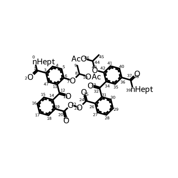 CCCCCCCC(=O)c1ccc(OC(C)OC(C)=O)c(C(=O)c2ccccc2C(=O)OOC(=O)c2ccccc2C(=O)c2cc(C(=O)CCCCCCC)ccc2OC(C)OC(C)=O)c1